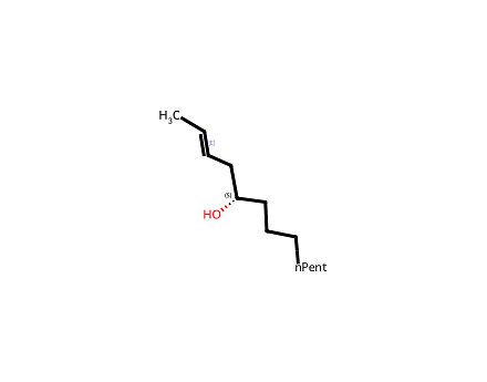 C/C=C/C[C@@H](O)CCCCCCCC